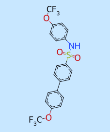 O=S(=O)(Nc1ccc(OC(F)(F)F)cc1)c1ccc(-c2ccc(OC(F)(F)F)cc2)cc1